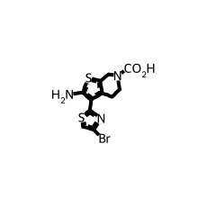 Nc1sc2c(c1-c1nc(Br)cs1)CCN(C(=O)O)C2